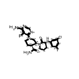 NC(=O)[C@H]1CCN(c2ncnc(N)c2F)C[C@@H]1N1CCC[C@@H](Nc2cc(F)cc(Cl)c2)C1=O